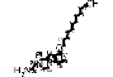 C#CCCCCCCCCCCOc1nccc2c1cc1n2CCN(CCN)C1=O